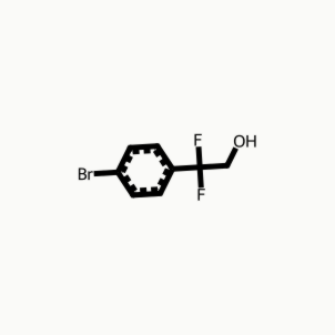 OCC(F)(F)c1ccc(Br)cc1